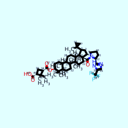 CC1(C2CC[C@]3(C(=O)N4CCC[C@H]4c4ncc(C(F)(F)F)[nH]4)CC[C@]4(C)[C@H](CC[C@@H]5[C@@]6(C)CC[C@H](OC(=O)[C@H]7C[C@@H](C(=O)O)C7(C)C)C(C)(C)[C@@H]6CC[C@]54C)[C@@H]23)CC1